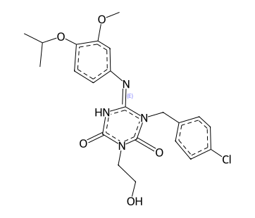 COc1cc(/N=c2\[nH]c(=O)n(CCO)c(=O)n2Cc2ccc(Cl)cc2)ccc1OC(C)C